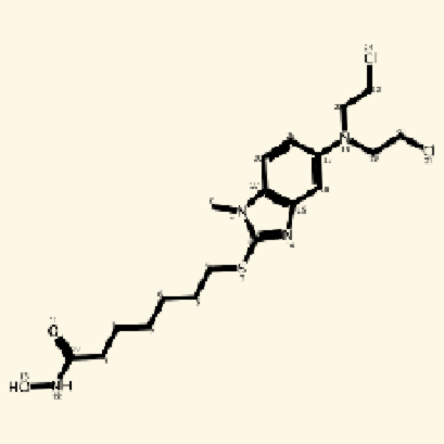 Cn1c(SCCCCCCC(=O)NO)nc2cc(N(CCCl)CCCl)ccc21